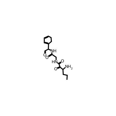 CCCC(N)C(=O)C(=O)NCC(=O)NC(C=O)C1=CC=CCC1